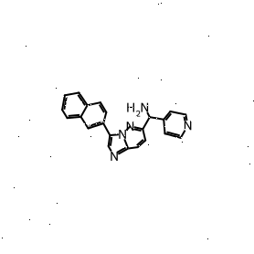 NC(c1ccncc1)c1ccc2ncc(-c3ccc4ccccc4c3)n2n1